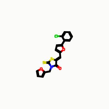 O=C1C(=Cc2ccc(-c3ccccc3Cl)o2)SC(=S)N1Cc1ccco1